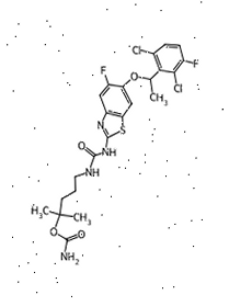 CC(Oc1cc2sc(NC(=O)NCCCC(C)(C)OC(N)=O)nc2cc1F)c1c(Cl)ccc(F)c1Cl